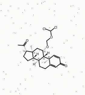 CC(=O)[C@H]1CC[C@H]2[C@@H]3CCC4=CC(=O)C=C[C@]4(C)[C@H]3[C@@H](OCOC(Cl)Cl)C[C@]12C